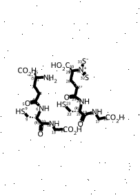 N[C@@H](CCC(=O)N[C@@H](CS)C(=O)NCC(=O)O)C(=O)O.O=C(O)CNC(=O)[C@H](CS)NC(=O)CC[C@@H](C(=O)O)[N+](=S)[S-]